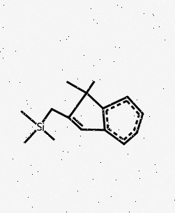 CC1(C)C(C[Si](C)(C)C)=Cc2ccccc21